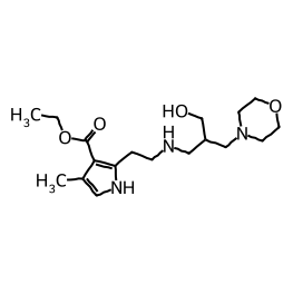 CCOC(=O)c1c(C)c[nH]c1CCNCC(CO)CN1CCOCC1